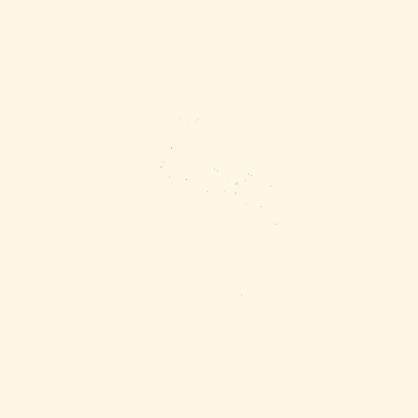 COCOc1ccc([C@@H]([C@H](C)Nc2nn(C)c(=O)c3ccccc23)N(C)C)cc1